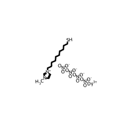 Cn1cc[n+](CCCCCCCCCCS)c1.O=[N+]([O-])[O-].O=[N+]([O-])[O-].O=[N+]([O-])[O-].O=[N+]([O-])[O-].[Dy+3]